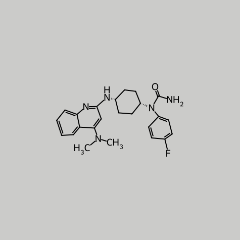 CN(C)c1cc(N[C@H]2CC[C@@H](N(C(N)=O)c3ccc(F)cc3)CC2)nc2ccccc12